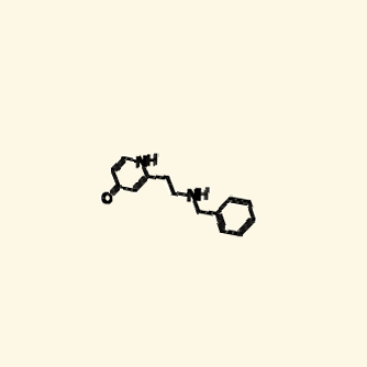 O=c1cc[nH]c(CCNCc2ccccc2)c1